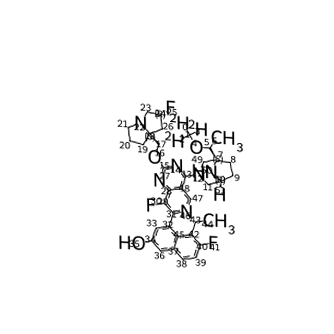 [2H]C([2H])([2H])OC(C)[C@]12CC[C@H](CN(c3nc(OC[C@@]45CCCN4C[C@H](F)C5)nc4c(F)c(-c5cc(O)cc6ccc(F)c(CC)c56)ncc34)C1)N2